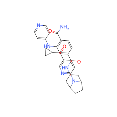 NC(=O)c1ccc(C(=O)NC2CC3CCC(C2)N3c2ccc(C(=O)C3CC3)cn2)cc1Nc1ccncc1